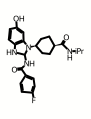 CC(C)NC(=O)[C@H]1CC[C@@H](N2c3cc(O)ccc3NC2NC(=O)c2ccc(F)cc2)CC1